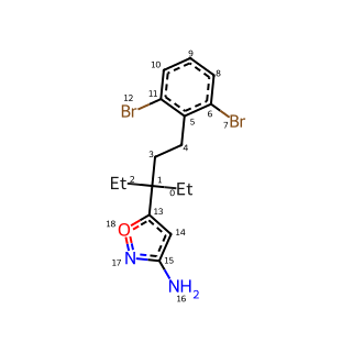 CCC(CC)(CCc1c(Br)cccc1Br)c1cc(N)no1